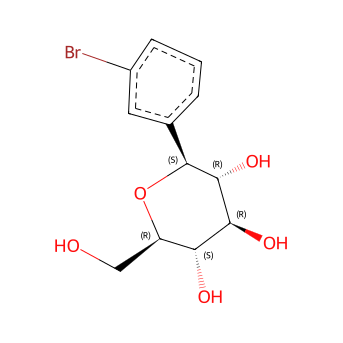 OC[C@H]1O[C@@H](c2cccc(Br)c2)[C@H](O)[C@@H](O)[C@@H]1O